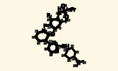 CCCS(=O)(=O)Nc1c(F)cc(Oc2ncccc2-c2ccnc(N[C@H]3CC[C@H](N(C)C)CC3)n2)c(F)c1F